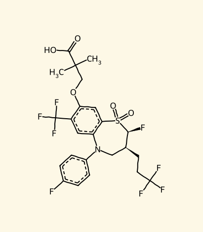 CC(C)(COc1cc2c(cc1C(F)(F)F)N(c1ccc(F)cc1)C[C@H](CCC(F)(F)F)[C@H](F)S2(=O)=O)C(=O)O